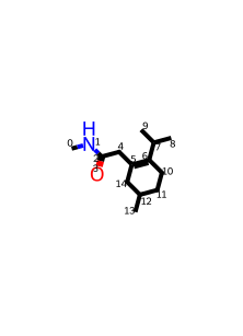 CNC(=O)CC1=C(C(C)C)CCC(C)C1